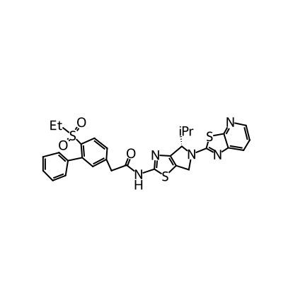 CCS(=O)(=O)c1ccc(CC(=O)Nc2nc3c(s2)CN(c2nc4cccnc4s2)[C@H]3C(C)C)cc1-c1ccccc1